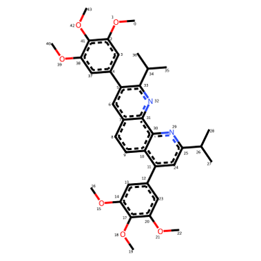 COc1cc(-c2cc3ccc4c(-c5cc(OC)c(OC)c(OC)c5)cc(C(C)C)nc4c3nc2C(C)C)cc(OC)c1OC